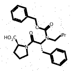 CC(C)CN(C(=O)OCc1ccccc1)[C@H](Cc1ccccc1)C(=O)N1CCC[C@H]1C(=O)O